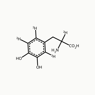 [2H]c1c([2H])c(CC([2H])(N)C(=O)O)c([2H])c(O)c1O